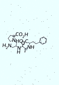 C[C@H](NC(CCc1ccccc1)C(=O)O)C(=O)NC(CN)CN1CCC[C@H]1C(=O)O